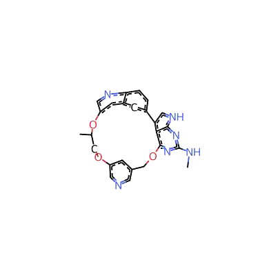 CNc1nc2c3c(c[nH]c3n1)-c1ccc3ncc(cc3c1)OC(C)COc1cncc(c1)CO2